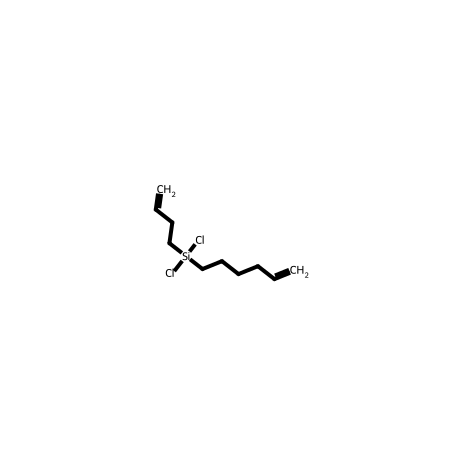 C=CCCCC[Si](Cl)(Cl)CCC=C